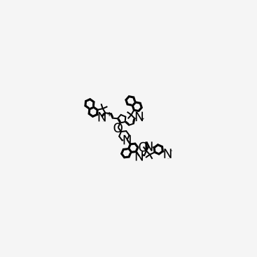 CN(C)c1ccc2c(c1)C(C)(C)C1(C=Nc3c(cc(N4CCC(OC5=C(/C=C/C6=[N+](C)c7ccc8ccccc8c7C6(C)C)CC/C5=C\C=C5\N(C)c6ccc7ccccc7c6C5(C)C)CC4)c4ccccc34)O1)N2C